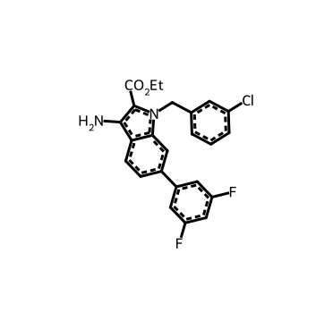 CCOC(=O)c1c(N)c2ccc(-c3cc(F)cc(F)c3)cc2n1Cc1cccc(Cl)c1